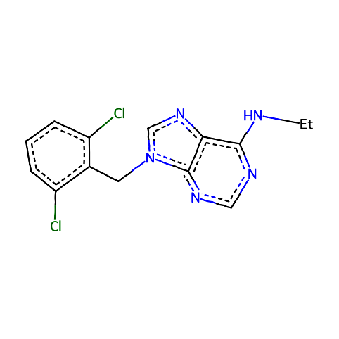 CCNc1ncnc2c1ncn2Cc1c(Cl)cccc1Cl